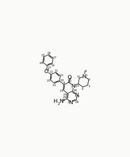 CN1CCCC(n2c(=O)c(-c3ccc(Oc4ccccc4)cc3)cc3c(N)ncnc32)C1